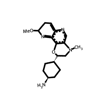 COC1CC=c2ncc3c(c2=N1)OC([C@H]1CC[C@H](N)CC1)CN3C